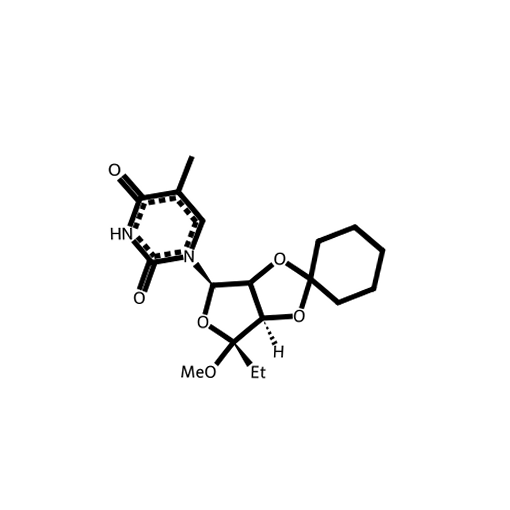 CC[C@@]1(OC)O[C@@H](n2cc(C)c(=O)[nH]c2=O)C2OC3(CCCCC3)O[C@H]21